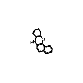 IN1C2=C(CCC=C2)Oc2c1ccc1ccccc21